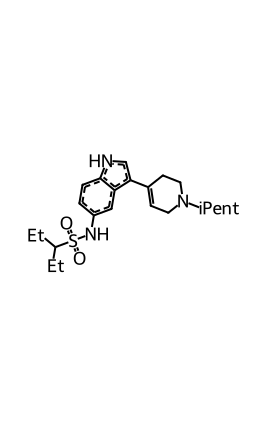 CCCC(C)N1CC=C(c2c[nH]c3ccc(NS(=O)(=O)C(CC)CC)cc23)CC1